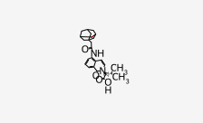 CC(C)[C@H](C(=O)O)n1ccc2c(NC(=O)CC34CC5CC(CC(C5)C3)C4)cccc2c1=O